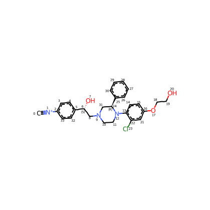 [C-]#[N+]c1ccc([C@H](O)CN2CCN(c3ccc(OCCO)cc3Cl)[C@H](c3ccccc3)C2)cc1